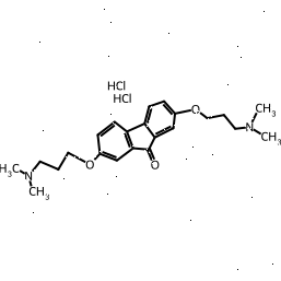 CN(C)CCCOc1ccc2c(c1)C(=O)c1cc(OCCCN(C)C)ccc1-2.Cl.Cl